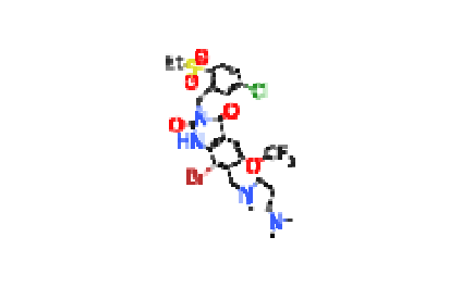 CCS(=O)(=O)c1ccc(Cl)cc1Cn1c(=O)[nH]c2c(Br)c(CN3CCC(N(C)C)C3)c(OC(F)(F)F)cc2c1=O